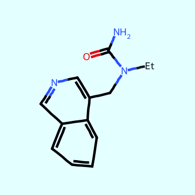 CCN(Cc1cncc2ccccc12)C(N)=O